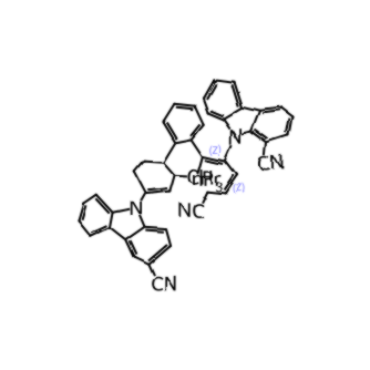 CCC/C(=C(\C=C/CC#N)n1c2ccccc2c2cccc(C#N)c21)c1ccccc1C1CCC(n2c3ccccc3c3cc(C#N)ccc32)=CC1C